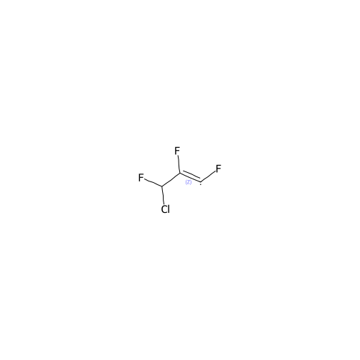 F/[C]=C(\F)C(F)Cl